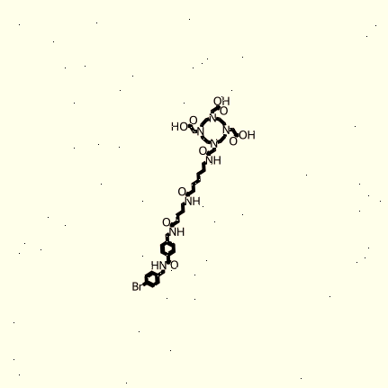 O=C(O)CN1CCN(CC(=O)O)CCN(CC(=O)NCCCCCCC(=O)NCCCCC(=O)NCc2ccc(C(=O)NCc3ccc(Br)cc3)cc2)CCN(CC(=O)O)CC1